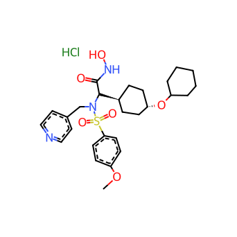 COc1ccc(S(=O)(=O)N(Cc2ccncc2)C(C(=O)NO)[C@H]2CC[C@H](OC3CCCCC3)CC2)cc1.Cl